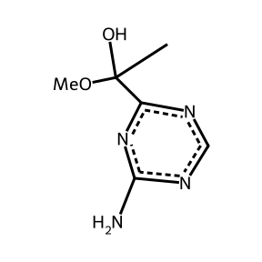 COC(C)(O)c1ncnc(N)n1